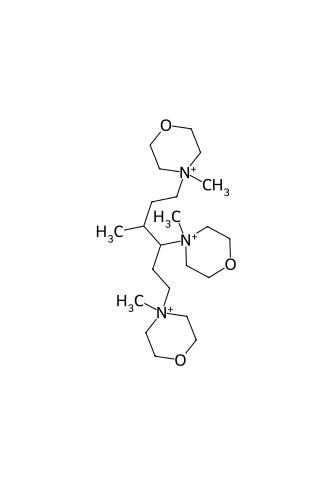 CC(CC[N+]1(C)CCOCC1)C(CC[N+]1(C)CCOCC1)[N+]1(C)CCOCC1